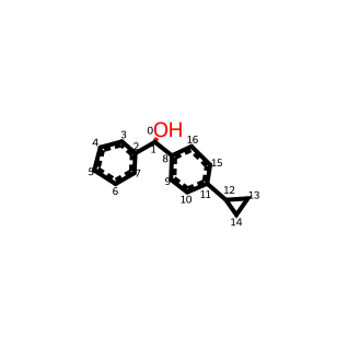 OC(c1ccccc1)c1ccc(C2CC2)cc1